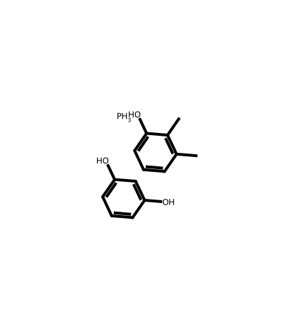 Cc1cccc(O)c1C.Oc1cccc(O)c1.P